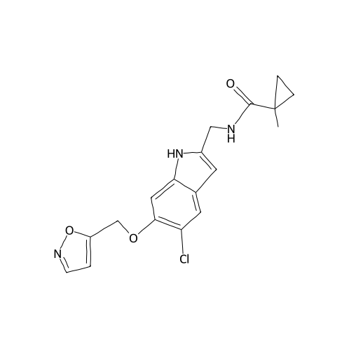 CC1(C(=O)NCc2cc3cc(Cl)c(OCc4ccno4)cc3[nH]2)CC1